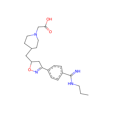 CCCNC(=N)c1ccc(C2=NOC(CC3CCN(CC(=O)O)CC3)C2)cc1